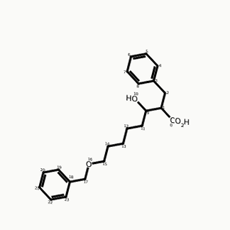 O=C(O)C(Cc1ccccc1)C(O)CCCCCOCc1ccccc1